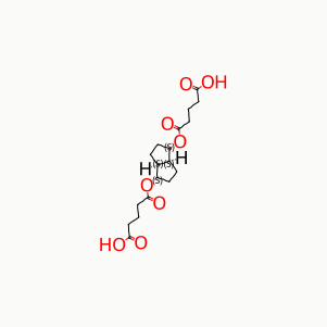 O=C(O)CCCC(=O)O[C@H]1CC[C@H]2[C@@H]1CC[C@@H]2OC(=O)CCCC(=O)O